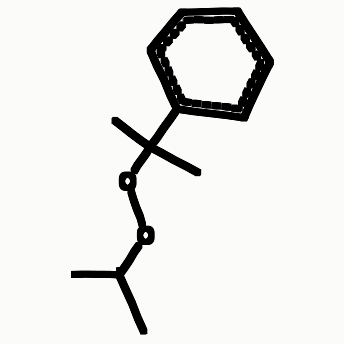 C[C](C)OOC(C)(C)c1ccccc1